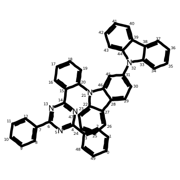 c1ccc(-c2nc(-c3ccccc3)nc(-c3ccccc3-n3c4ccccc4c4ccc(-n5c6ccccc6c6ccccc65)cc43)n2)cc1